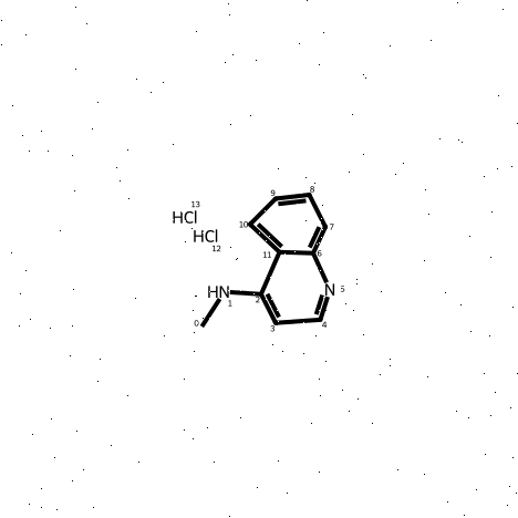 CNc1ccnc2ccccc12.Cl.Cl